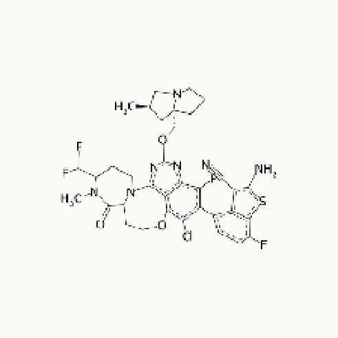 C[C@H]1CN2CCC[C@@]2(COc2nc3c4c(c(Cl)c(-c5ccc(F)c6sc(N)c(C#N)c56)c(F)c4n2)OCCC2C(=O)N(C)C(C(F)F)CCN32)C1